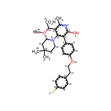 Cc1nc(O)c(-c2ccc(OCCc3ccc(F)cc3)cc2)c(N2CCC(C)(C)CC2)c1C(OC(C)(C)C)C(=O)O